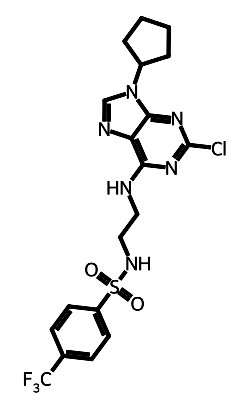 O=S(=O)(NCCNc1nc(Cl)nc2c1ncn2C1CCCC1)c1ccc(C(F)(F)F)cc1